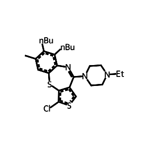 CCCCc1c(C)cc2c(c1CCCC)N=C(N1CCN(CC)CC1)c1csc(Cl)c1S2